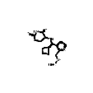 O=CNCc1sccc1C(NC1CCC(=O)NC1=O)=C1CCC1